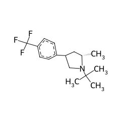 C[C@H]1CC(c2ccc(C(F)(F)F)cc2)CN1C(C)(C)C